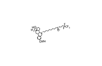 COc1ccc2c(c1)C[C@@H](CCCCCCCCC[S+]([O-])CCCC(F)(F)C(F)(F)F)C1C2CC[C@]2(C)C(O)CCC12